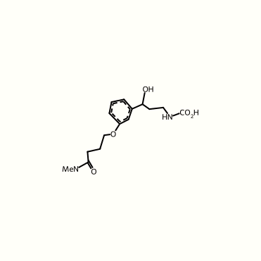 CNC(=O)CCCOc1cccc(C(O)CCNC(=O)O)c1